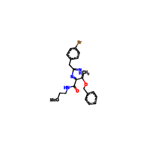 C=C(OCc1ccccc1)/C(=N\C(=N)Cc1ccc(Br)cc1)C(=O)NCCOC